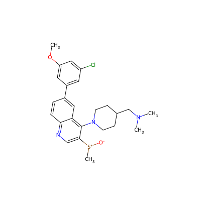 COc1cc(Cl)cc(-c2ccc3ncc([S+](C)[O-])c(N4CCC(CN(C)C)CC4)c3c2)c1